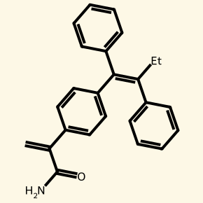 C=C(C(N)=O)c1ccc(C(=C(CC)c2ccccc2)c2ccccc2)cc1